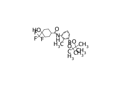 Cc1c(NC(=O)C2CCC(O)(C(F)(F)F)CC2)cccc1B1OC(C)(C)C(C)(C)O1